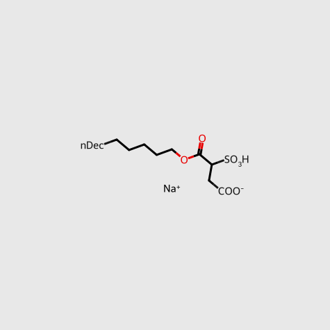 CCCCCCCCCCCCCCCOC(=O)C(CC(=O)[O-])S(=O)(=O)O.[Na+]